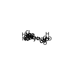 CCc1cc(Nc2ncc(Cl)c(Nc3ccc4nccnc4c3NS(C)(=O)=O)n2)c(OC)cc1N1CCC(Nc2cccc3c2CN(C2CCC(=O)NC2=O)C3=O)CC1